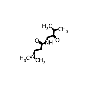 CC(C)C(=O)CNC(=O)CCN(C)C